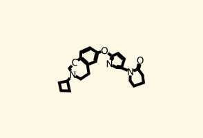 O=C1CCCCN1c1ccc(Oc2ccc3c(c2)CCN(C2CCC2)CC3)nc1